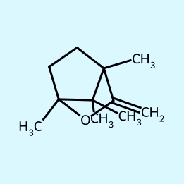 C=C1OC2(C)CCC1(C)C2(C)C